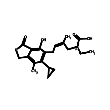 CC[C@@H](CC(C)=CCc1c(O)c2c(c(C)c1C1CC1)COC2=O)C(=O)O